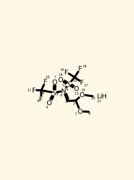 COC(C=[N+](S(=O)(=O)C(F)(F)F)S(=O)(=O)C(F)(F)F)OC.[LiH]